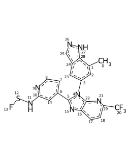 Cc1cc(-n2c(-c3ccnc(NSF)c3)nc3ccc(C(F)(F)F)nc32)cc2cn[nH]c12